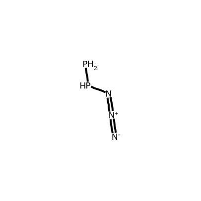 [N-]=[N+]=NPP